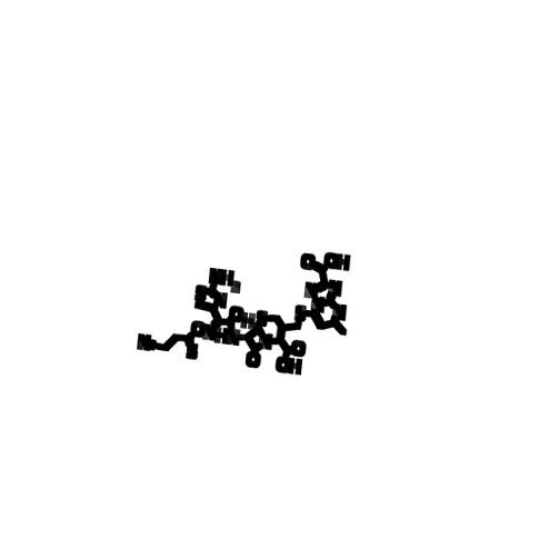 Cc1cc(SCC2=C(C(=O)O)N3C(=O)[C@@H](NC(=O)C(=NOC(=S)CCC#N)c4csc(N)n4)[C@H]3SC2)n2nc(C(=O)O)nc2n1